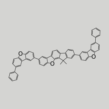 CC1(C)c2cc(-c3ccc4oc5ccc(-c6ccccc6)cc5c4c3)ccc2-c2ccc3c(oc4ccc(-c5ccc6oc7ccc(-c8ccccc8)cc7c6c5)cc43)c21